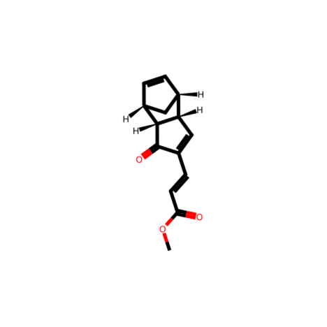 COC(=O)/C=C/C1=C[C@@H]2[C@H](C1=O)[C@@H]1C=C[C@H]2C1